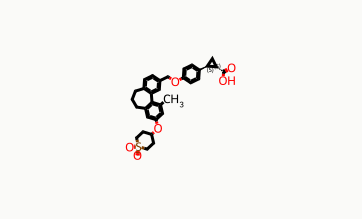 Cc1cc(OC2CCS(=O)(=O)CC2)cc2c1-c1cc(COc3ccc([C@H]4C[C@@H]4C(=O)O)cc3)ccc1CCC2